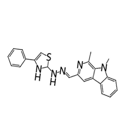 Cc1nc(C=NNC2NC(c3ccccc3)=CS2)cc2c3ccccc3n(C)c12